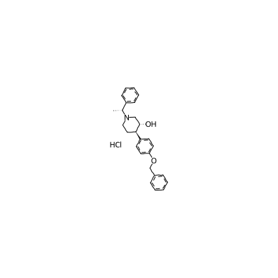 C[C@H](c1ccccc1)N1CC[C@H](c2ccc(OCc3ccccc3)cc2)[C@@H](O)C1.Cl